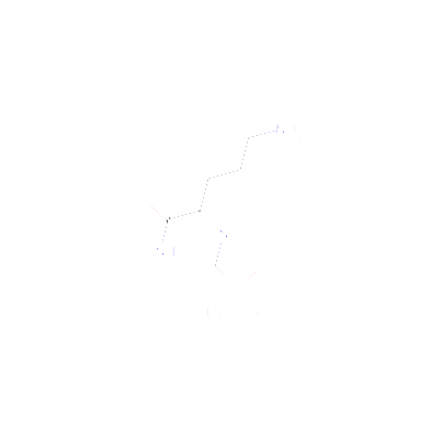 NCCCC(NCP(=O)(O)O)C(N)=O